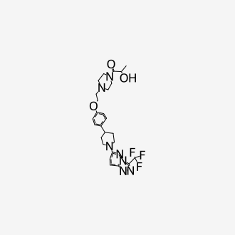 CC(O)C(=O)N1CCN(CCOc2ccc(C3CCN(c4ccc5nnc(C(F)(F)F)n5n4)CC3)cc2)CC1